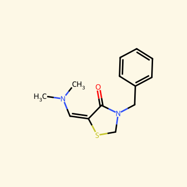 CN(C)C=C1SCN(Cc2ccccc2)C1=O